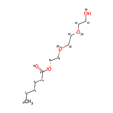 CCCCCC(=O)OCCOCCOCCO